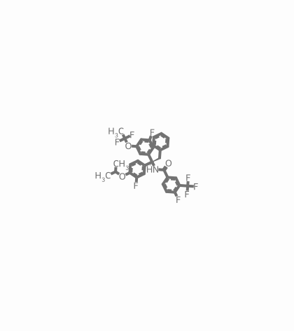 CC(C)Oc1ccc([C@@](Cc2ccccc2)(NC(=O)c2ccc(F)c(C(F)(F)F)c2)c2cc(F)cc(OC(C)(F)F)c2)cc1F